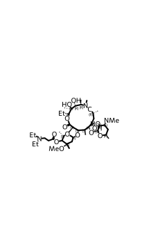 CC[C@H]1OC(=O)[C@H](C)[C@@H](O[C@H]2C[C@@](C)(OC)C(OC(=O)CCN(CC)CC)[C@H](C)O2)[C@H](C)[C@@H](O[C@@H]2O[C@H](C)C[C@H](NC)[C@H]2O)[C@](C)(O)C[C@@H](C)CN(C)[C@H](C)[C@@H](O)[C@]1(C)O